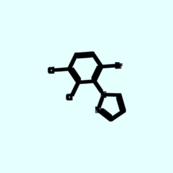 Clc1ccc(Br)c(-n2cccn2)c1Cl